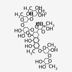 COC(C(=O)C(O)C(C)O)C1Cc2cc3cc(OC4CC(OC5CC(O)C(O)C(C)O5)C(O)C(C)O4)c(C)c(O)c3c(O)c2C(=O)C1OC1CC(OC2CC(OC3CC(C)(O)C(O)C(C)O3)C(O)C(C)O2)C(O)C(O)O1